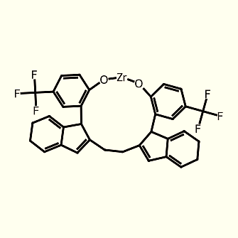 FC(F)(F)c1ccc2c(c1)C1C(=CC3=CCCC=C31)CCC1=CC3=CCCC=C3C1c1cc(C(F)(F)F)ccc1[O][Zr][O]2